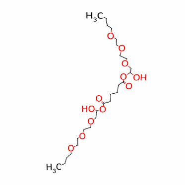 CCCCOCCOCCOCC(O)OC(=O)CCCCC(=O)OC(O)COCCOCCOCCCC